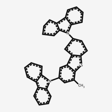 Cc1cc(-n2c3ccccc3c3ccccc32)cc2c1sc1ccc(-n3c4ccccc4c4ccccc43)cc12